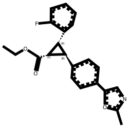 CCOC(=O)[C@H]1[C@H](c2ccc(-c3cnc(C)o3)cc2)[C@H]1c1ccccc1F